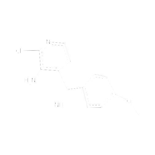 COc1ccc(Cc2ccnc(Cl)c2N)cc1.N